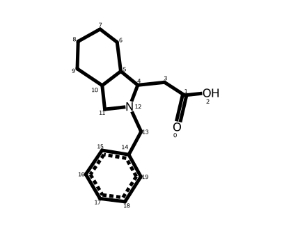 O=C(O)CC1C2CCCCC2CN1Cc1ccccc1